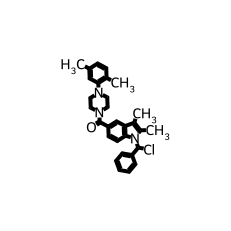 Cc1ccc(C)c(N2CCN(C(=O)c3ccc4c(c3)c(C)c(C)n4C(Cl)c3ccccc3)CC2)c1